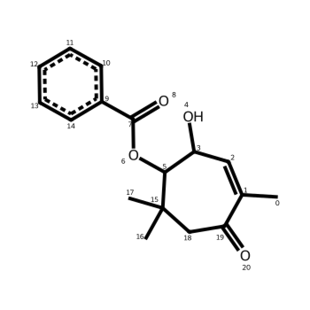 CC1=CC(O)C(OC(=O)c2ccccc2)C(C)(C)CC1=O